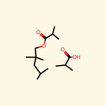 CC(C)C(=O)O.CC(C)CC(C)(C)COC(=O)C(C)C